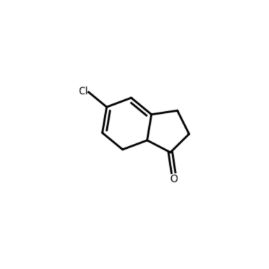 O=C1CCC2=CC(Cl)=CCC12